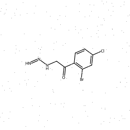 N=NNCC(=O)c1ccc(Cl)cc1Br